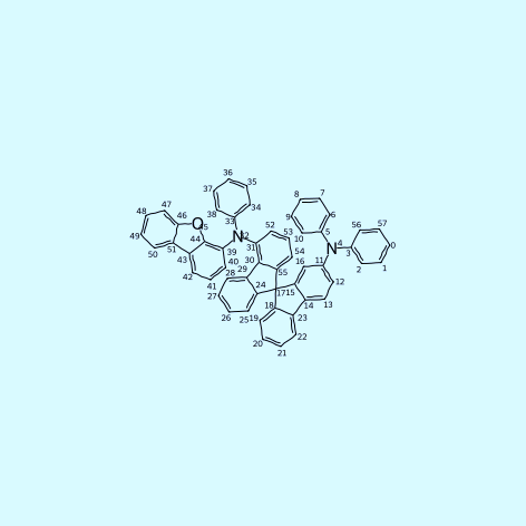 c1ccc(N(c2ccccc2)c2ccc3c(c2)C2(c4ccccc4-3)c3ccccc3-c3c(N(c4ccccc4)c4cccc5c4oc4ccccc45)cccc32)cc1